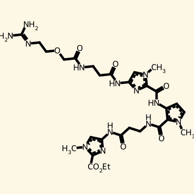 CCOC(=O)c1nc(NC(=O)CCNC(=O)c2c(NC(=O)c3nc(NC(=O)CCNC(=O)COCCN=C(N)N)cn3C)ccn2C)cn1C